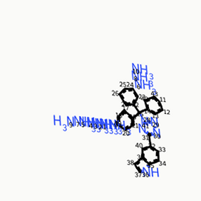 N.N.N.N.N.N.N.N.N.N.N.c1ccc(C(c2ccccc2)(c2ccccc2)n2nnc(-c3ccc4[nH]ccc4c3)n2)cc1